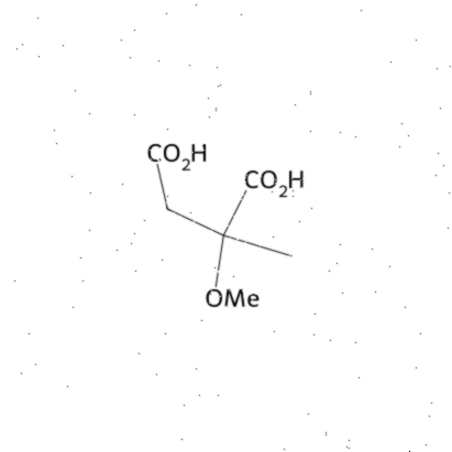 COC(C)(CC(=O)O)C(=O)O